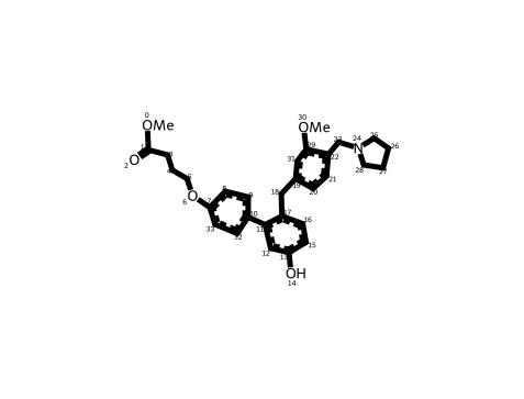 COC(=O)CCCOc1ccc(-c2cc(O)ccc2Cc2ccc(CN3CCCC3)c(OC)c2)cc1